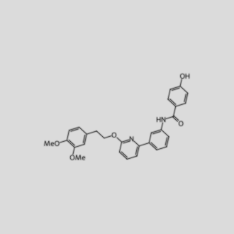 COc1ccc(CCOc2cccc(-c3cccc(NC(=O)c4ccc(O)cc4)c3)n2)cc1OC